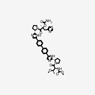 COC(=O)N[C@H](C(=O)N1CCC[C@H]1c1ncc(-c2ccc(-c3ccc(-c4cnc([C@@H]5CCCN5C(=O)[C@](C)(Cc5cscn5)OC(N)=O)[nH]4)cc3)cc2)[nH]1)[C@@H](C)OC